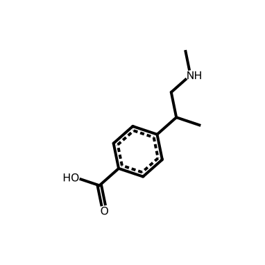 CNCC(C)c1ccc(C(=O)O)cc1